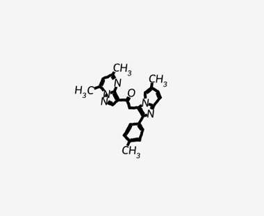 Cc1ccc(-c2nc3ccc(C)cn3c2CC(=O)c2cnn3c(C)cc(C)nc23)cc1